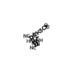 C[C@H]1CN(C2CCN(C3CCS(=O)(=O)CC3)CC2)CCN1c1cc(C#N)cc(Nc2nc(NC3CC3)n3ncc(C#N)c3n2)c1Cl